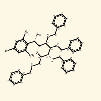 CC(=O)O[C@@H](c1c(C)cc(Br)cc1C)[C@H]1O[C@H](COCc2ccccc2)[C@@H](OCc2ccccc2)[C@H](OCc2ccccc2)[C@@H]1OCc1ccccc1